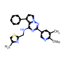 COc1ncc(-c2nc(NCc3nc(C)cs3)c3c(-c4ccccc4)ccn3n2)cc1C